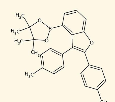 Cc1ccc(-c2oc3cccc(B4OC(C)(C)C(C)(C)O4)c3c2-c2ccc(C)cc2)cc1